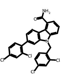 NC(=O)c1cccc2c1c1[c]cc(-c3ccc(Cl)cc3Cl)cc1n2Cc1ccc(Cl)cc1Cl